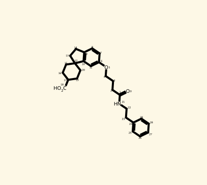 O=C(CCCOc1ccc2c(c1)C1(CC2)CCC(C(=O)O)CC1)NCCc1ccccc1